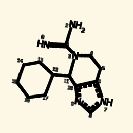 N=C(N)N1CCc2[nH]cnc2C1C1CCCCC1